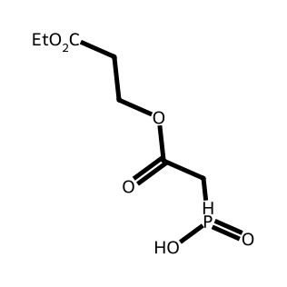 CCOC(=O)CCOC(=O)C[PH](=O)O